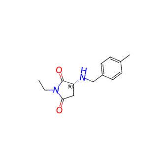 CCN1C(=O)C[C@@H](NCc2ccc(C)cc2)C1=O